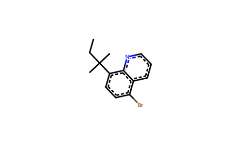 CCC(C)(C)c1ccc(Br)c2cccnc12